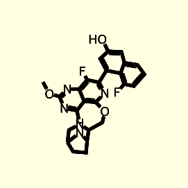 COc1nc2c3c(nc(-c4cc(O)cc5cccc(F)c45)c(F)c3n1)OCC1C3CCC(CN21)N3